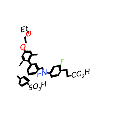 CCOCCOc1cc(C)c(-c2cccc(CNc3ccc(CCC(=O)O)c(F)c3)c2)c(C)c1.Cc1ccc(S(=O)(=O)O)cc1